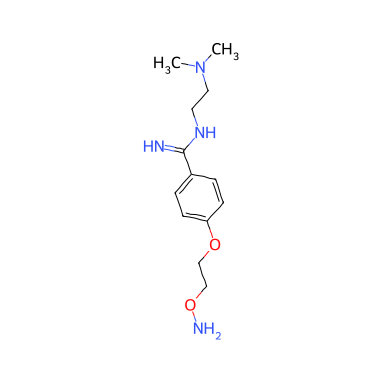 CN(C)CCNC(=N)c1ccc(OCCON)cc1